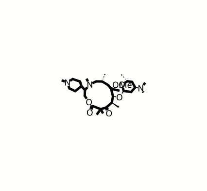 CO[C@]1(C)C[C@@H](C)CN(C)C(C2CCN(C)CC2)COC(=O)C(C)(C)C(=O)[C@H](C)[C@H]1O[C@H]1C[C@@H](N(C)C)C[C@@H](C)O1